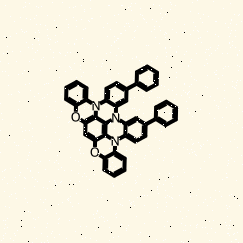 c1ccc(-c2ccc3c(c2)n2c4cc(-c5ccccc5)ccc4n4c5ccccc5oc5cc6oc7ccccc7n3c6c2c54)cc1